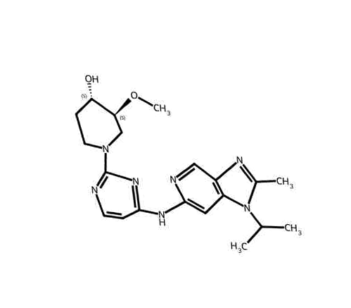 CO[C@H]1CN(c2nccc(Nc3cc4c(cn3)nc(C)n4C(C)C)n2)CC[C@@H]1O